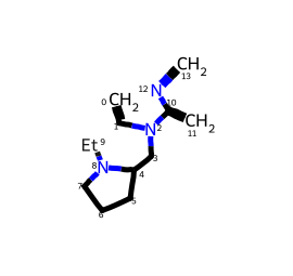 C=CN(CC1CCCN1CC)C(=C)N=C